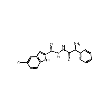 NC(C(=O)NNC(=O)c1cc2cc(Cl)ccc2[nH]1)c1ccccc1